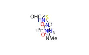 CNC(C)C(=O)NC(C(=O)N1CCCC1C1NC(C=O)=CS1)C(C)C